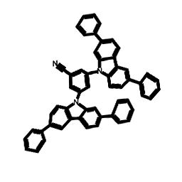 N#Cc1cc(-n2c3ccc(-c4ccccc4)cc3c3ccc(-c4ccccc4)cc32)cc(-n2c3ccc(-c4ccccc4)cc3c3ccc(-c4ccccc4)cc32)c1